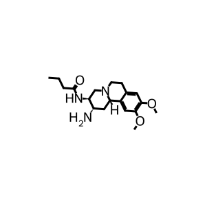 CCCC(=O)N[C@H]1CN2CCc3cc(OC)c(OC)cc3[C@@H]2C[C@@H]1N